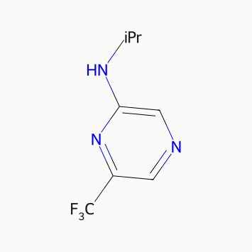 CC(C)Nc1cncc(C(F)(F)F)n1